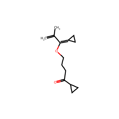 C=C(C)C(OCCCC(=O)C1CC1)=C1CC1